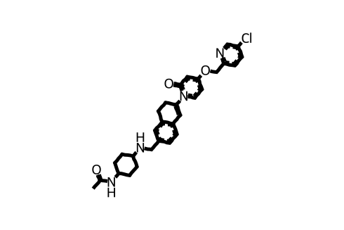 CC(=O)NC1CCC(NCc2ccc3c(c2)CCC(n2ccc(OCc4ccc(Cl)cn4)cc2=O)=C3)CC1